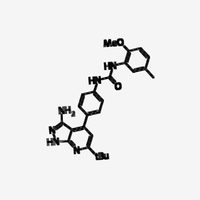 COc1ccc(C)cc1NC(=O)Nc1ccc(-c2cc(C(C)(C)C)nc3[nH]nc(N)c23)cc1